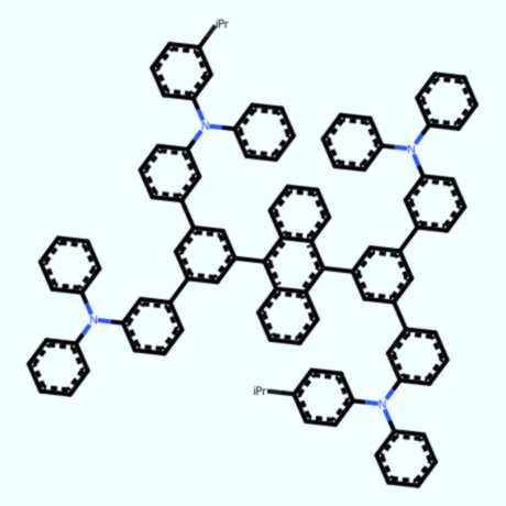 CC(C)c1ccc(N(c2ccccc2)c2cccc(-c3cc(-c4cccc(N(c5ccccc5)c5ccccc5)c4)cc(-c4c5ccccc5c(-c5cc(-c6cccc(N(c7ccccc7)c7ccccc7)c6)cc(-c6cccc(N(c7ccccc7)c7cccc(C(C)C)c7)c6)c5)c5ccccc45)c3)c2)cc1